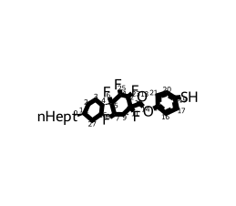 CCCCCCC[C@H]1CC[C@H](C2(F)C(F)[CH]C(F)(C(=O)Oc3ccc(S)cc3)C(F)C2F)CC1